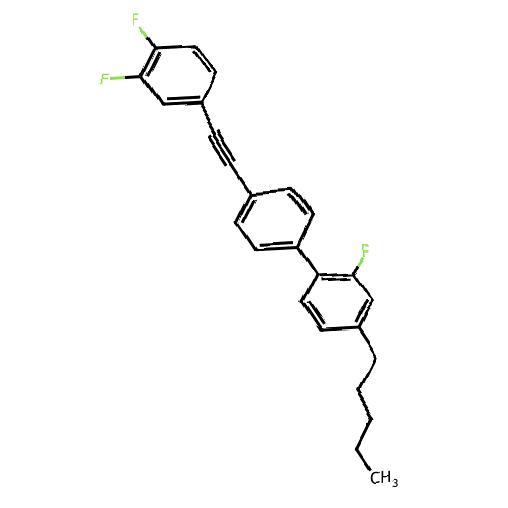 CCCCCc1ccc(-c2ccc(C#Cc3ccc(F)c(F)c3)cc2)c(F)c1